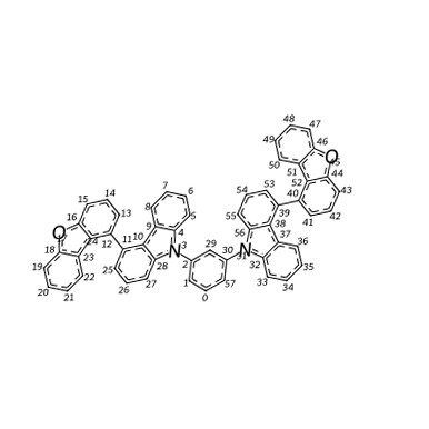 c1cc(-n2c3ccccc3c3c(-c4cccc5oc6ccccc6c45)cccc32)cc(-n2c3ccccc3c3c(-c4cccc5oc6ccccc6c45)cccc32)c1